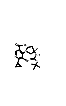 CC(C)(C)OC(=O)N[C@@]1(C)CCN(c2c(C(=O)O)cnc(C3CC3)c2Br)C1